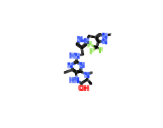 Cc1nc(NCc2cnn(Cc3cn(C)nc3C(F)(F)F)c2)nc2c1NC(O)[C@H](C)N2C